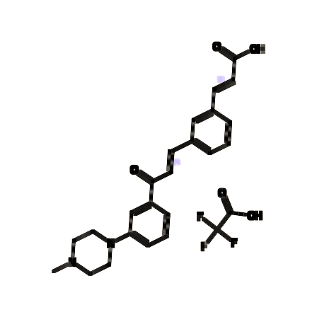 CN1CCN(c2cccc(C(=O)/C=C/c3cccc(/C=C/C(=O)O)c3)c2)CC1.O=C(O)C(F)(F)F